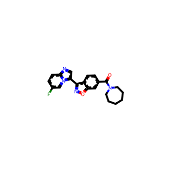 O=C(c1ccc2c(-c3cnc4ccc(F)cn34)noc2c1)N1CCCCCC1